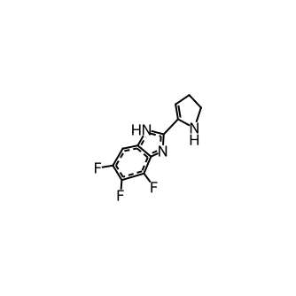 Fc1cc2[nH]c(C3=CCCN3)nc2c(F)c1F